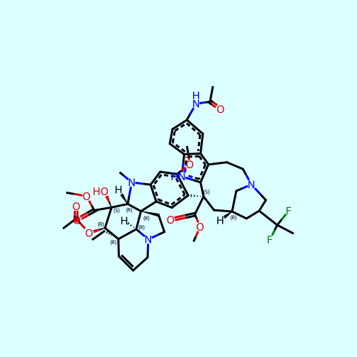 CC[C@]12C=CCN3CC[C@@]4(c5cc([C@@]6(C(=O)OC)C[C@H]7CC(C(C)(F)F)CN(CCc8c6[nH]c6ccc(NC(C)=O)cc86)C7)c(OC)cc5N(C)[C@H]4[C@@](O)(C(=O)OC)[C@@H]1OC(C)=O)[C@@H]32